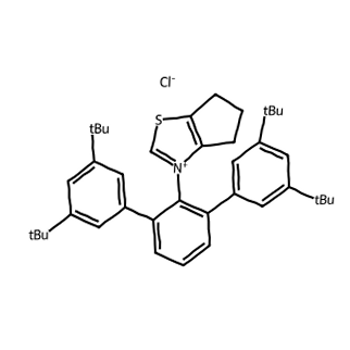 CC(C)(C)c1cc(-c2cccc(-c3cc(C(C)(C)C)cc(C(C)(C)C)c3)c2-[n+]2csc3c2CCC3)cc(C(C)(C)C)c1.[Cl-]